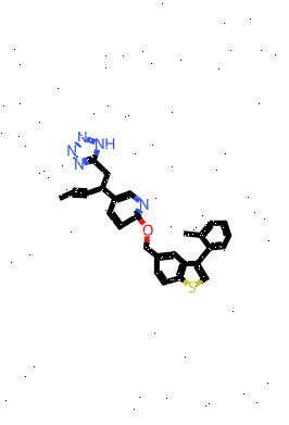 CC#CC(Cc1nnn[nH]1)c1ccc(OCc2ccc3scc(-c4ccccc4C)c3c2)nc1